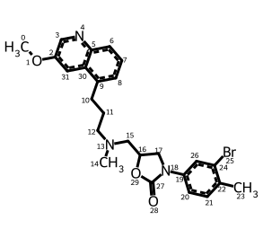 COc1cnc2cccc(CCCN(C)CC3CN(c4ccc(C)c(Br)c4)C(=O)O3)c2c1